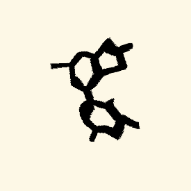 CC1=Cc2cc(C)cc(-c3cc(C)cc(C)c3)c2C1